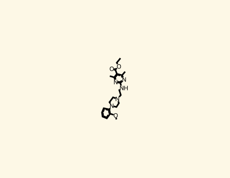 CCOC(=O)c1c(C)nc(NCCN2CCN(c3ccccc3OC)CC2)nc1C